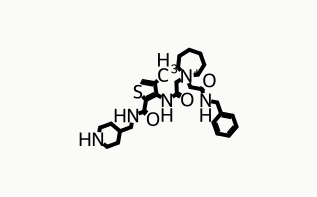 Cc1csc(C(=O)NCC2CCNCC2)c1NC(=O)C[N+]1(CC(=O)NCc2ccccc2)CCCCCC1